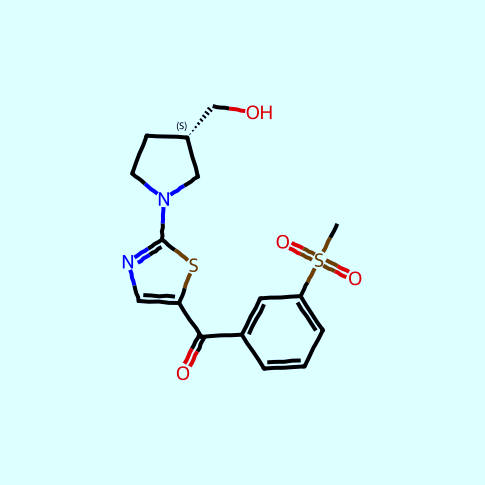 CS(=O)(=O)c1cccc(C(=O)c2cnc(N3CC[C@H](CO)C3)s2)c1